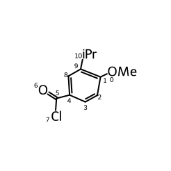 COc1ccc(C(=O)Cl)cc1C(C)C